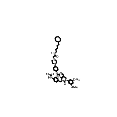 CCC(=O)Nc1ccc(CN2C(=O)N(c3cc(OC)cc(OC)c3)Cc3cnc(Nc4ccc(N5CCN(CC(=O)NCCCCCC6CCCCCC6)CC5)cc4)nc32)cc1